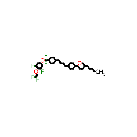 CCCCCC1CCC(C2CCC(CC/C=C/C3CCC(C(F)(F)Oc4cc(F)c(OC=C(F)F)c(F)c4)CC3)CC2)OC1